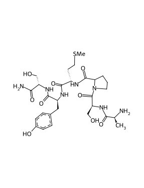 CSCC[C@H](NC(=O)C1CCCN1C(=O)[C@H](CO)NC(=O)[C@H](C)N)C(=O)N[C@@H](Cc1ccc(O)cc1)C(=O)N[C@@H](CO)C(N)=O